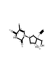 C#C[C@@]1(CO)C[C@H](n2cc(C)c(=O)[nH]c2=O)C[C@H]1O